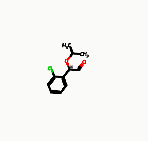 CC(C)O[C@@H]([C]=O)c1ccccc1Cl